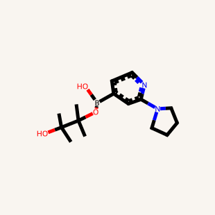 CC(C)(O)C(C)(C)OB(O)c1ccnc(N2CCCC2)c1